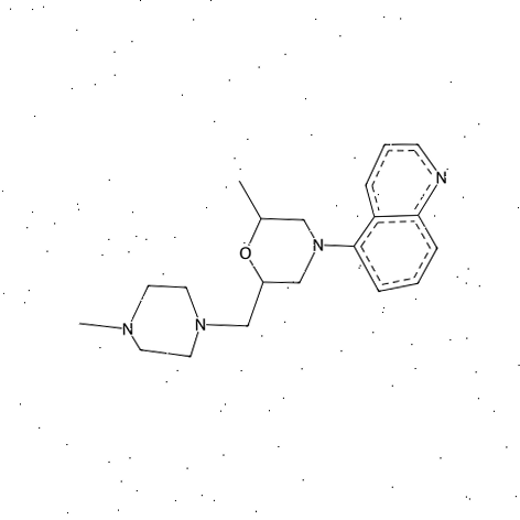 CC1CN(c2cccc3ncccc23)CC(CN2CCN(C)CC2)O1